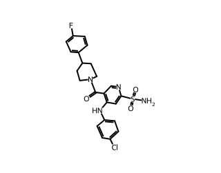 NS(=O)(=O)c1cc(Nc2ccc(Cl)cc2)c(C(=O)N2CCC(c3ccc(F)cc3)CC2)cn1